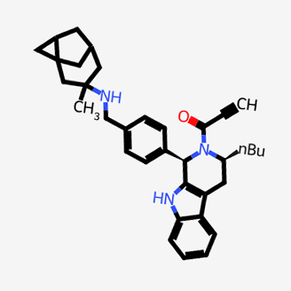 C#CC(=O)N1[C@@H](CCCC)Cc2c([nH]c3ccccc23)[C@H]1c1ccc(CNC2(C)CC3CC4CC4(C3)C2)cc1